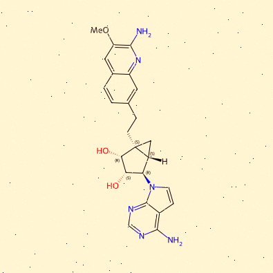 COc1cc2ccc(CC[C@]34C[C@@H]3[C@@H](n3ccc5c(N)ncnc53)[C@H](O)[C@@H]4O)cc2nc1N